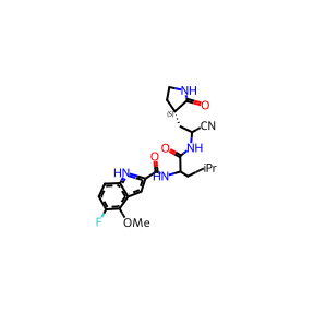 COc1c(F)ccc2[nH]c(C(=O)NC(CC(C)C)C(=O)NC(C#N)C[C@@H]3CCNC3=O)cc12